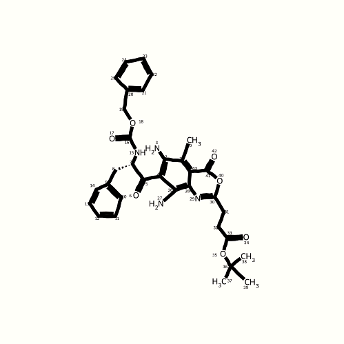 Cc1c(N)c(C(=O)[C@H](Cc2ccccc2)NC(=O)OCc2ccccc2)c(N)c2nc(CCC(=O)OC(C)(C)C)oc(=O)c12